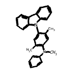 Cc1cc(-n2c3ccccc3c3ccccc32)c(C)cc1N(C)c1ccccc1